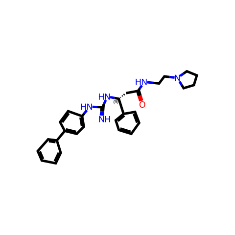 N=C(Nc1ccc(-c2ccccc2)cc1)N[C@H](CC(=O)NCCN1CCCC1)c1ccccc1